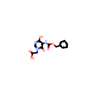 O=C(O)Cn1cnc(O)c(NC(=O)OCc2ccccc2)c1=O